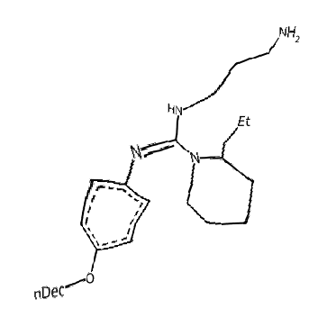 CCCCCCCCCCOc1ccc(/N=C(/NCCCN)N2CCCCC2CC)cc1